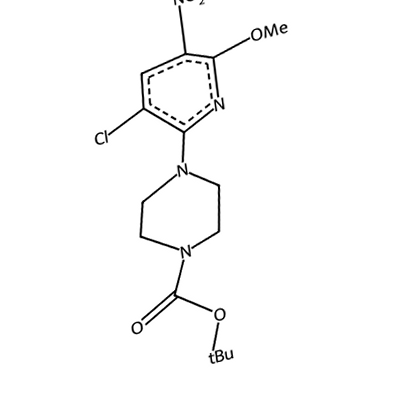 COc1nc(N2CCN(C(=O)OC(C)(C)C)CC2)c(Cl)cc1[N+](=O)[O-]